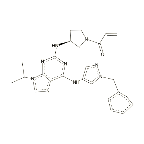 C=CC(=O)N1CC[C@H](Nc2nc(Nc3cnn(Cc4ccccc4)c3)c3ncn(C(C)C)c3n2)C1